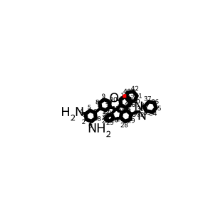 Nc1cc(N)cc(-c2ccc3c(c2)C2(c4ccccc4O3)c3ccccc3-c3ccc(-c4nc5ccccc5n4-c4ccccc4)cc32)c1